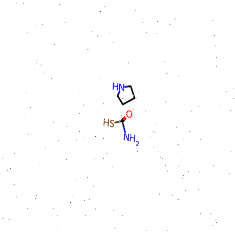 C1CCNC1.NC(=O)S